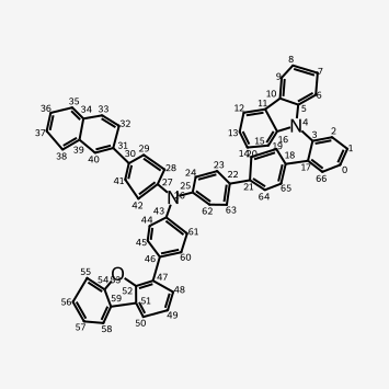 c1ccc(-n2c3ccccc3c3ccccc32)c(-c2ccc(-c3ccc(N(c4ccc(-c5ccc6ccccc6c5)cc4)c4ccc(-c5cccc6c5oc5ccccc56)cc4)cc3)cc2)c1